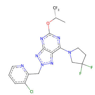 C[C@H](Oc1nc(N2CCC(F)(F)C2)c2nn(Cc3ncccc3Cl)nc2n1)C(F)(F)F